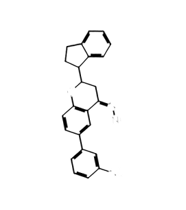 [C-]#[N+]/N=C1/CC(C2CCc3ccccc32)Oc2ccc(-c3cccc([N+]#[C-])c3)cc21